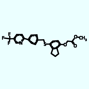 COC(=O)COc1ccc(SCc2ccc(-c3ccc(C(F)(F)F)cn3)cc2)c2c1CCC2